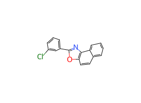 Clc1cccc(-c2nc3c(ccc4ccccc43)o2)c1